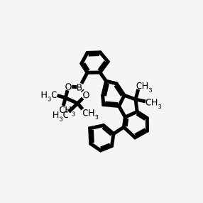 CC1(C)c2cc(-c3ccccc3B3OC(C)(C)C(C)(C)O3)ccc2-c2c(-c3ccccc3)cccc21